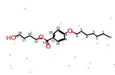 CCCCCCCOc1ccc(C(=O)OCCCCO)cc1